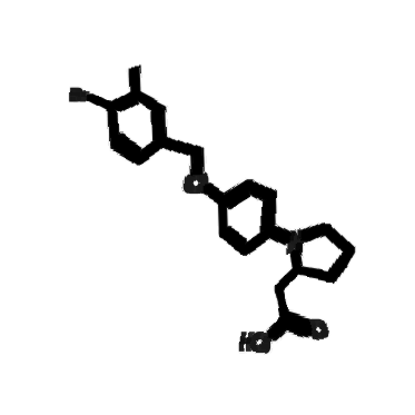 Cc1cc(COc2ccc(N3CCCC3CC(=O)O)cc2)ccc1Br